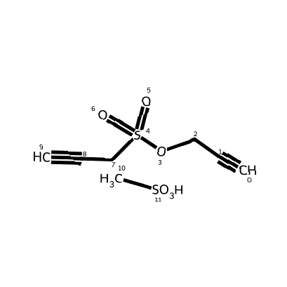 C#CCOS(=O)(=O)CC#C.CS(=O)(=O)O